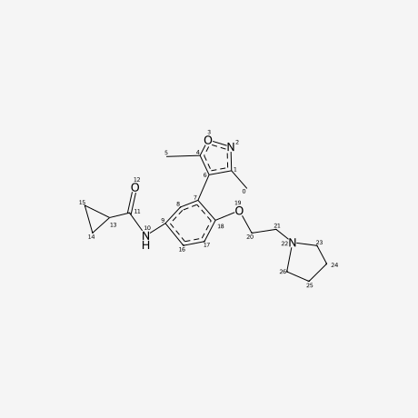 Cc1noc(C)c1-c1cc(NC(=O)C2CC2)ccc1OCCN1CCCC1